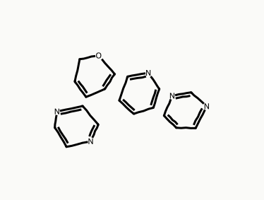 C1=CCOC=C1.c1ccncc1.c1cnccn1.c1cncnc1